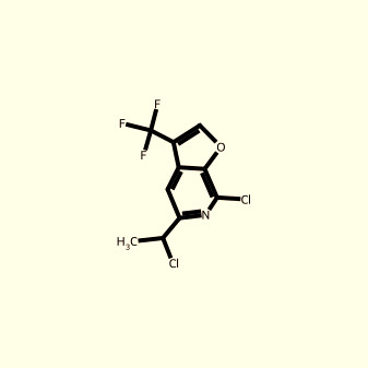 CC(Cl)c1cc2c(C(F)(F)F)coc2c(Cl)n1